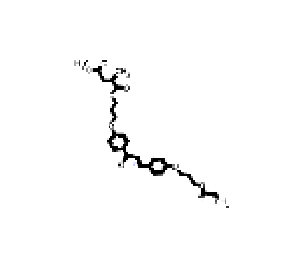 C=CC(=O)OCCCOc1ccc(/C=C/C(=O)c2ccc(OCCCOC(=O)C(=C)CC(=O)OC)cc2)cc1